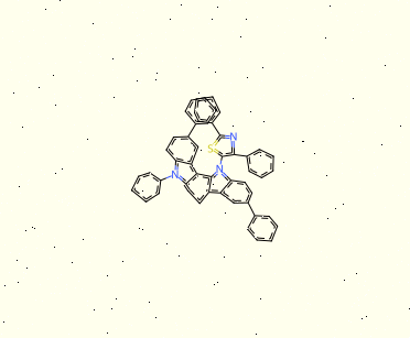 c1ccc(-c2ccc3c(c2)c2c(ccc4c5cc(-c6ccccc6)ccc5n(-c5sc(-c6ccccc6)nc5-c5ccccc5)c42)n3-c2ccccc2)cc1